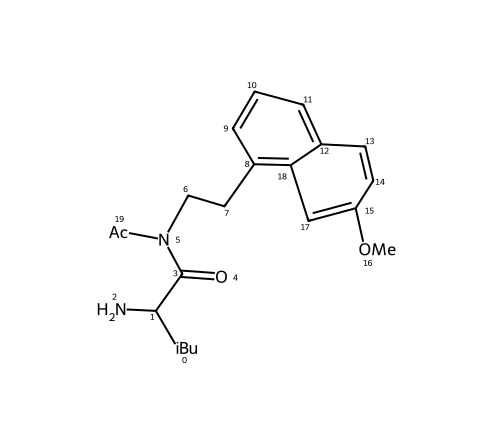 CCC(C)C(N)C(=O)N(CCc1cccc2ccc(OC)cc12)C(C)=O